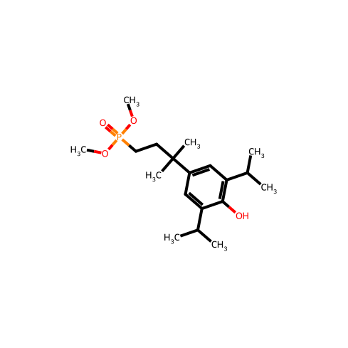 COP(=O)(CCC(C)(C)c1cc(C(C)C)c(O)c(C(C)C)c1)OC